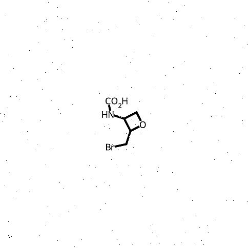 O=C(O)NC1COC1CBr